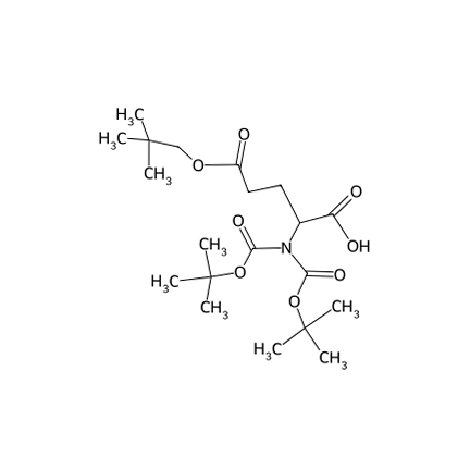 CC(C)(C)COC(=O)CCC(C(=O)O)N(C(=O)OC(C)(C)C)C(=O)OC(C)(C)C